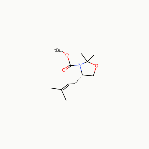 CC(C)=CC[C@H]1COC(C)(C)N1C(=O)OC(C)(C)C